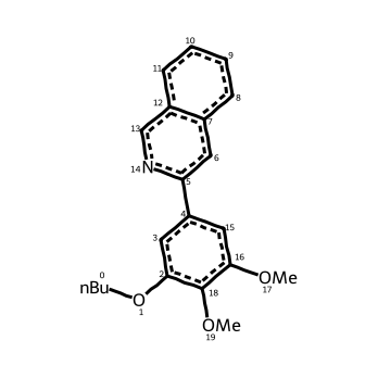 CCCCOc1cc(-c2cc3ccccc3cn2)cc(OC)c1OC